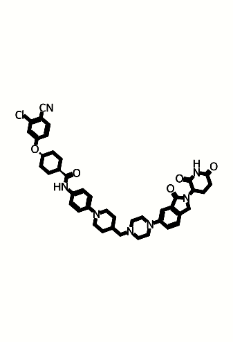 N#Cc1ccc(O[C@H]2CC[C@H](C(=O)Nc3ccc(N4CCC(CN5CCN(c6ccc7c(c6)C(=O)N(C6CCC(=O)NC6=O)C7)CC5)CC4)cc3)CC2)cc1Cl